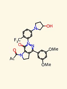 COc1cc(OC)cc(-c2nn(-c3cc(N4CCC(O)C4)ccc3C(F)(F)F)c(=O)c3c2CCN3C(=O)C(C)=O)c1